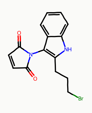 O=C1C=CC(=O)N1c1c(CCCBr)[nH]c2ccccc12